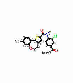 COC(=O)c1ccc(N(C)C(=O)c2cc3c(s2)-c2ccc(C#N)cc2OCC3)c(Cl)c1